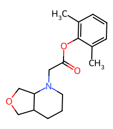 Cc1cccc(C)c1OC(=O)CN1CCCC2COCC21